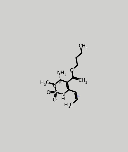 C=C(OCCCC)C1=C(/C=C\C)NS(=O)(=O)N(C)[C@@H]1N